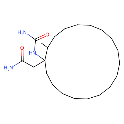 CC1CCCCCCCCCCCCCCCCC1(CC(N)=O)NC(N)=O